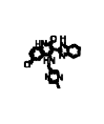 Cc1cnc(CNc2c(-c3nc4ccccc4[nH]3)c(=O)[nH]c3ccc(Cl)cc23)cn1